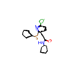 O=C(NC1CCCCC1)c1ccc(Cl)nc1SC1CCCC1